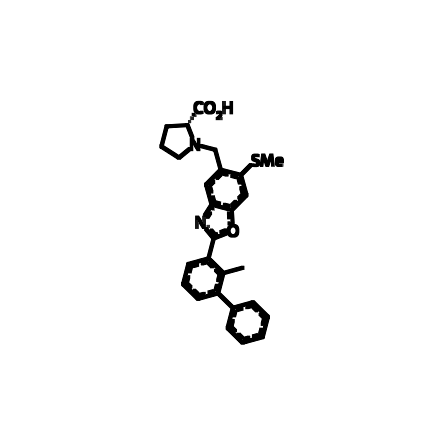 CSc1cc2oc(-c3cccc(-c4ccccc4)c3C)nc2cc1CN1CCC[C@@H]1C(=O)O